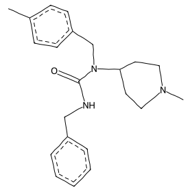 Cc1ccc(CN(C(=O)NCc2ccccc2)C2CCN(C)CC2)cc1